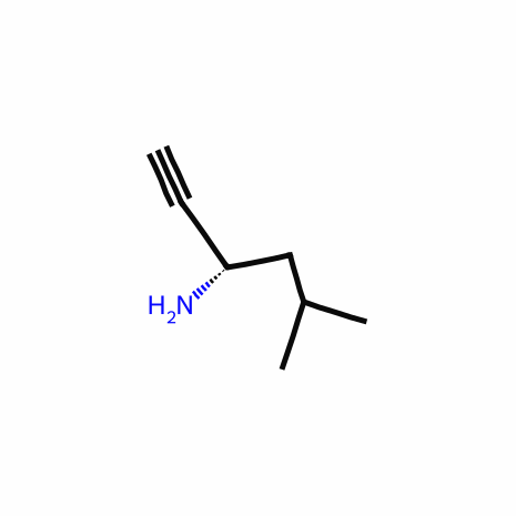 C#C[C@@H](N)CC(C)C